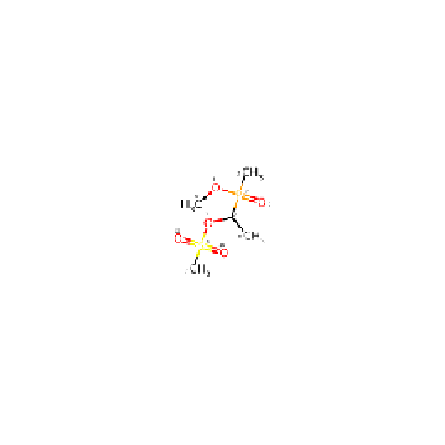 COP(C)(=O)C(C)OS(C)(=O)=O